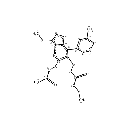 CCOC(=O)CCc1c(COC(C)=O)nn2c(CC)ccc2c1-c1cncc(C)c1